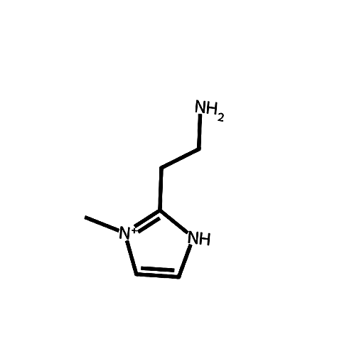 C[n+]1cc[nH]c1CCN